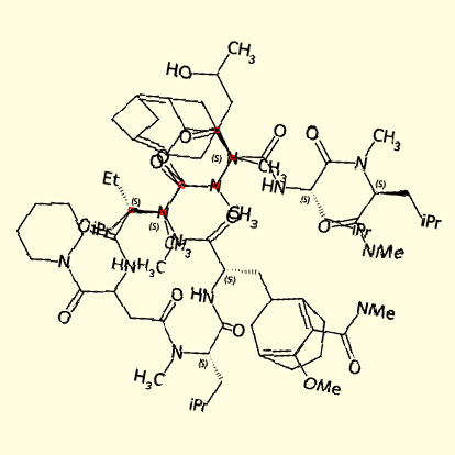 CC[C@@H](C(=O)NC(CC(=O)N(C)[C@@H](CC(C)C)C(=O)N[C@@H](CC1CC2=C(OC)C(C(=O)NC)=C1CCC2)C(=O)N(C)[C@@H](CC(C)C)C(=O)N(C)[C@@H](CC1C2=C3CC(=C1CCC2)C3)C(=O)N[C@@H](CC(C)C)C(=O)N(C)[C@@H](CC(C)C)C(=O)NC)C(=O)N1CCCCC1)N(C)C(=O)CN(C)C(=O)CC(C)O